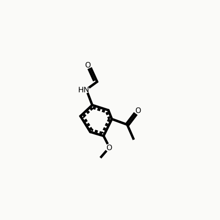 COc1ccc(NC=O)cc1C(C)=O